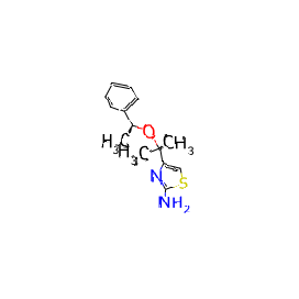 C[C@H](OC(C)(C)c1csc(N)n1)c1ccccc1